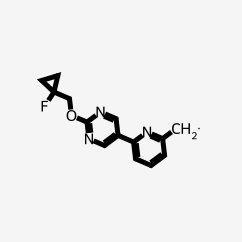 [CH2]c1cccc(-c2cnc(OCC3(F)CC3)nc2)n1